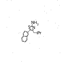 CC(C)Cc1nc(N)sc1-c1ccc2ccccc2c1